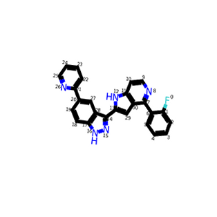 Fc1ccccc1-c1nccc2[nH]c(-c3n[nH]c4ccc(-c5ccccn5)cc34)cc12